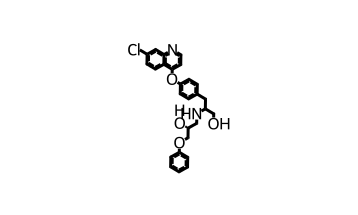 OCC(Cc1ccc(Oc2ccnc3cc(Cl)ccc23)cc1)NC[C@H](O)COc1ccccc1